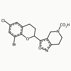 O=C(O)N1CCc2noc(C3CCc4cc(Cl)cc(Br)c4O3)c2C1